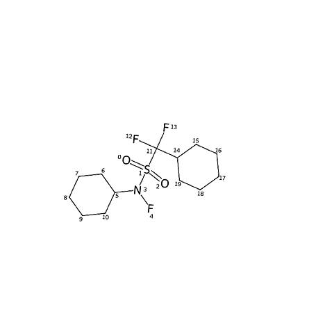 O=S(=O)(N(F)C1CCCCC1)C(F)(F)C1CCCCC1